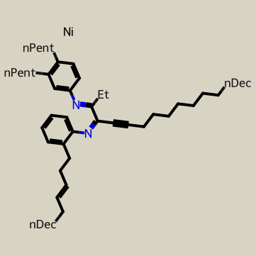 CCCCCCCCCCCC=CCCc1ccccc1N=C(C#CCCCCCCCCCCCCCCCCC)C(CC)=Nc1ccc(CCCCC)c(CCCCC)c1.[Ni]